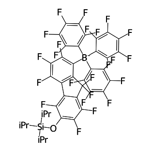 CC(C)[Si](Oc1c(F)c(F)c2c(c1F)-c1c(F)c(F)c(F)c([B-](c3c(F)c(F)c(F)c(F)c3F)(c3c(F)c(F)c(F)c(F)c3F)c3c(F)c(F)c(F)c(F)c3F)c1C2(F)F)(C(C)C)C(C)C